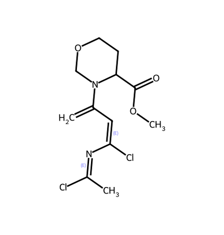 C=C(/C=C(Cl)\N=C(/C)Cl)N1COCCC1C(=O)OC